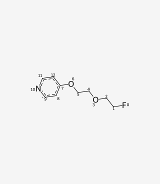 FCCOCCOc1c[c]ncc1